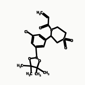 C=CC(=O)N1CCS(=O)(=O)CC1c1cc(Cl)cc(B2OC(C)(C)C(C)(C)O2)c1